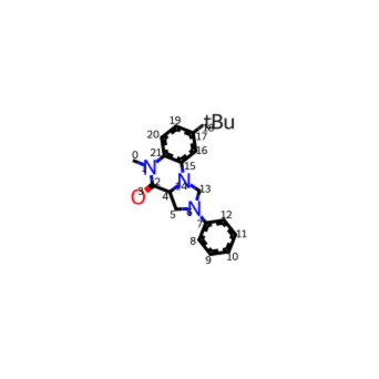 CN1C(=O)C2CN(c3ccccc3)CN2c2cc(C(C)(C)C)ccc21